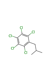 CC(C)Cc1c(Cl)c(Cl)c(Cl)c(Cl)c1Cl